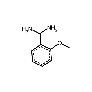 COc1ccccc1C(N)N